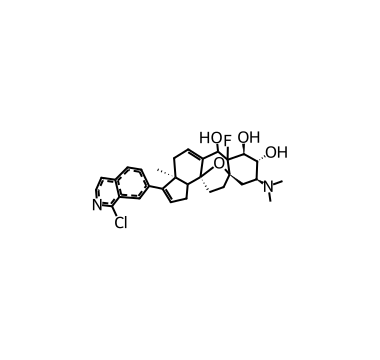 CN(C)[C@H]1C[C@@]23CC[C@@]4(O2)C(=CC[C@]2(C)C(c5ccc6ccnc(Cl)c6c5)=CCC24)C(O)C3(F)[C@@H](O)[C@@H]1O